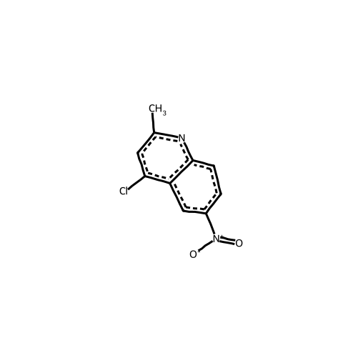 Cc1cc(Cl)c2cc([N+](=O)[O-])ccc2n1